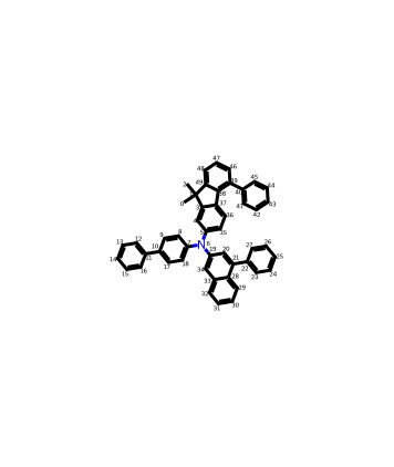 CC1(C)c2cc(N(c3ccc(-c4ccccc4)cc3)c3cc(-c4ccccc4)c4ccccc4c3)ccc2-c2c(-c3ccccc3)cccc21